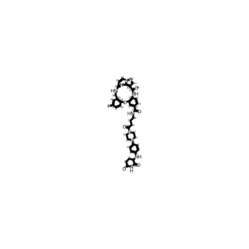 O=C1CCC(Nc2ccc(N3CCN(C(=O)CCCNC(=O)c4ccc5c(c4)Oc4ccc(F)cc4CNc4ccn6ncc(c6n4)C(=O)N5)CC3)cc2)C(=O)N1